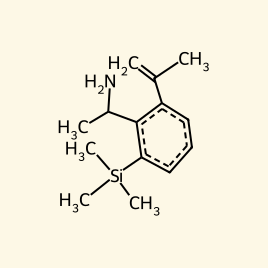 C=C(C)c1cccc([Si](C)(C)C)c1C(C)N